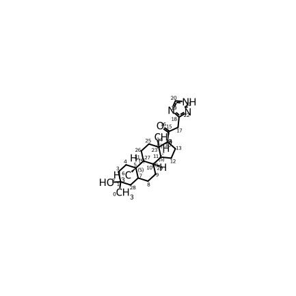 CC1(O)CC[C@@]2(C)C(CC[C@H]3[C@@H]4CC[C@H](C(=O)Cc5nc[nH]n5)[C@@]4(C)CC[C@@H]32)C1